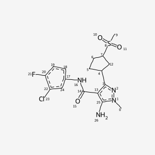 Cn1nc(C2CCC(S(C)(=O)=O)C2)c(C(=O)Nc2ccc(F)c(Cl)c2)c1N